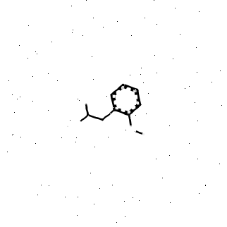 CC(C)COC(C)Cc1ccccc1OC(=O)O